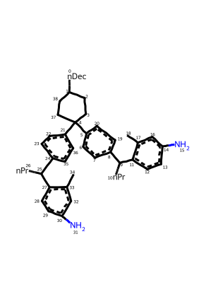 CCCCCCCCCCC1CCC(c2ccc(C(CCC)c3ccc(N)cc3C)cc2)(c2ccc(C(CCC)c3ccc(N)cc3C)cc2)CC1